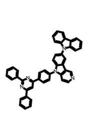 c1ccc(-c2cc(-c3ccc(-n4c5ccncc5c5cc(-n6c7ccccc7c7ccccc76)ccc54)cc3)nc(-c3ccccc3)n2)cc1